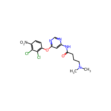 CN(C)CCCC(=O)Nc1cc(Oc2ccc([N+](=O)[O-])c(Cl)c2Cl)ncn1